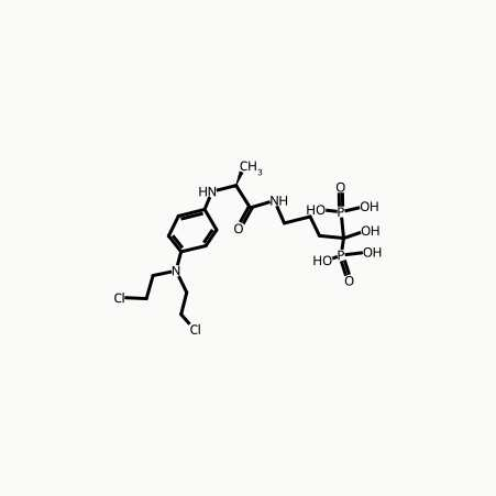 C[C@H](Nc1ccc(N(CCCl)CCCl)cc1)C(=O)NCCCC(O)(P(=O)(O)O)P(=O)(O)O